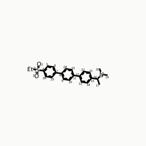 CCS(=O)(=O)c1ccc(-c2ccc(-c3ccc(C(C)N(C)C)cc3)cc2)cc1